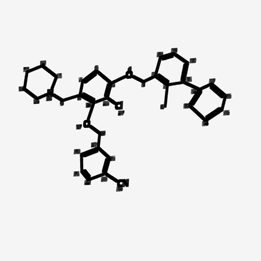 Cc1c(COc2ccc(CN3CCCCC3)c(OCc3cccc(C#N)c3)c2Cl)cccc1-c1ccccc1